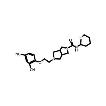 N#Cc1ccc(OCCN2CC3CN(C(=O)NC4CCCCO4)CC3C2)c(C#N)c1